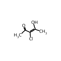 CC(=O)C(Cl)=C(C)O